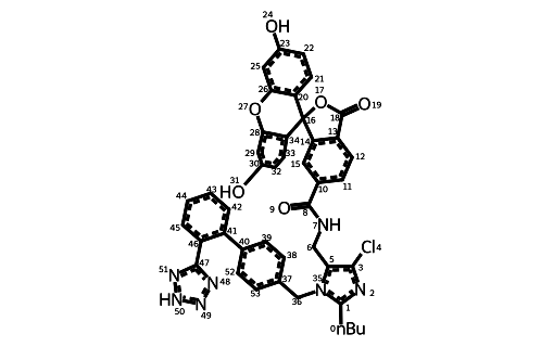 CCCCc1nc(Cl)c(CNC(=O)c2ccc3c(c2)C2(OC3=O)c3ccc(O)cc3Oc3cc(O)ccc32)n1Cc1ccc(-c2ccccc2-c2nn[nH]n2)cc1